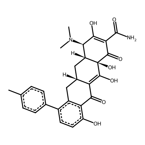 Cc1ccc(-c2ccc(O)c3c2C[C@@H]2C[C@@H]4[C@@H](N(C)C)C(O)=C(C(N)=O)C(=O)[C@]4(O)C(O)=C2C3=O)cc1